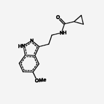 COc1ccc2[nH]nc(CCNC(=O)C3CC3)c2c1